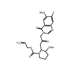 C=CCOC(=O)N1CCCC(OC)C1CC(=O)Cn1cnc2cc(F)c(SC)cc2c1=O